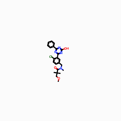 COCC(C)(C)C(=O)N(C)Cc1ccc(Cl)c(-c2nc(O)nc(-c3ccccc3)n2)c1